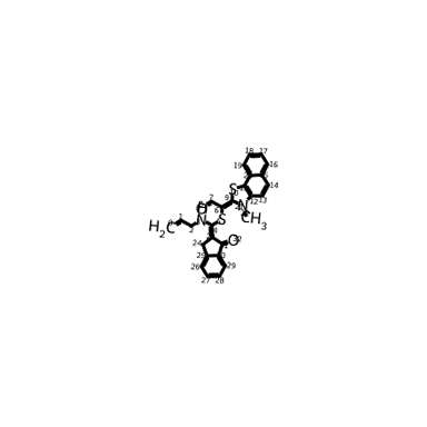 C=CCN/C(S/C(C=O)=C1/Sc2c(ccc3ccccc23)N1C)=C1\Cc2ccccc2C1=O